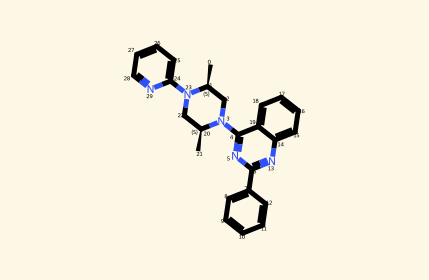 C[C@H]1CN(c2nc(-c3ccccc3)nc3ccccc23)[C@@H](C)CN1c1ccccn1